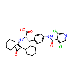 O=C(Nc1ccc(C[C@H](NC2=C(C3CCCCC3)C(=O)C23CCCCC3)C(=O)O)cc1)c1c(Cl)cncc1Cl